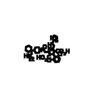 CCNCC1(C2CCN(C(=O)CC3=C(C(=O)O)C(c4c(Cl)cccc4Cl)C(C(=O)O)=C(CCc4nccs4)N3)CC2)CCCCC1